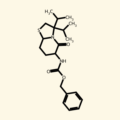 CC(C)C1(C(C)C)CSC2CCC(NC(=O)OCc3ccccc3)C(=O)N21